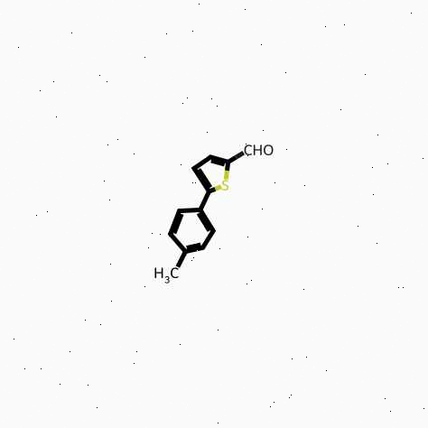 Cc1ccc(-c2ccc(C=O)s2)cc1